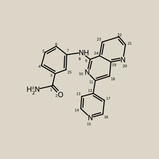 NC(=O)c1cccc(Nc2nc(-c3ccncc3)cc3ncccc23)c1